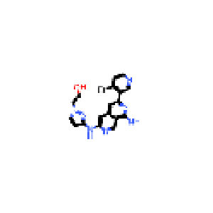 CCc1ccncc1-c1cc2cc(Nc3ccn(CCO)n3)ncc2c(N)n1